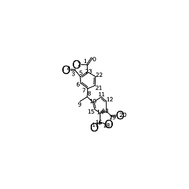 C=C1OC(=O)c2cc(C(C)c3ccc4c(c3)C(=O)OC4=O)ccc21